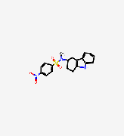 CN(C1CCc2[nH]c3ccccc3c2C1)S(=O)(=O)c1ccc([N+](=O)[O-])cc1